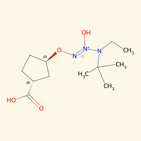 CCN(/[N+](O)=N/O[C@@H]1CC[C@@H](C(=O)O)C1)C(C)(C)C